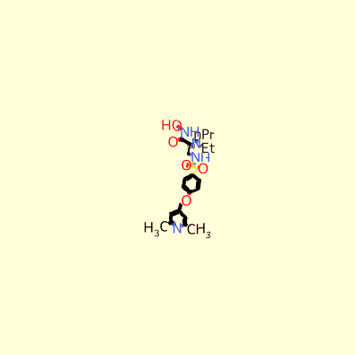 CCCN(CC)[C@@H](CNS(=O)(=O)c1ccc(OCc2cc(C)nc(C)c2)cc1)C(=O)NO